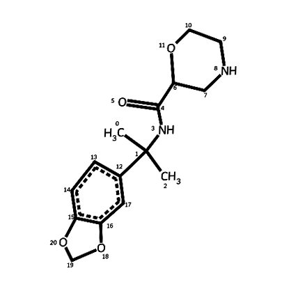 CC(C)(NC(=O)C1CNCCO1)c1ccc2c(c1)OCO2